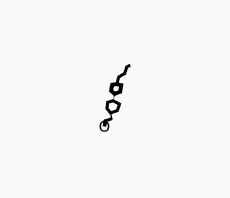 CCCCc1ccc([C@H]2CC[C@H](CC=O)CC2)cc1